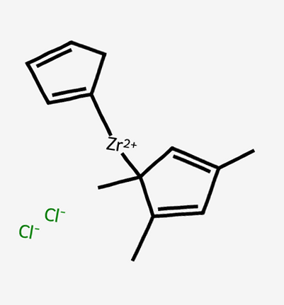 CC1=C[C](C)([Zr+2][C]2=CC=CC2)C(C)=C1.[Cl-].[Cl-]